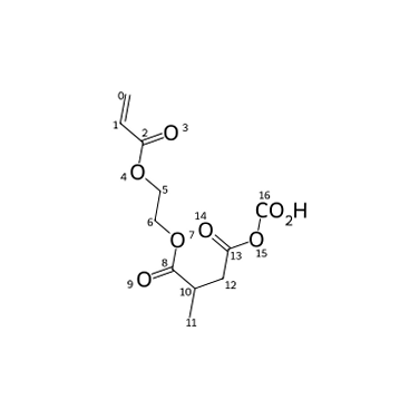 C=CC(=O)OCCOC(=O)C(C)CC(=O)OC(=O)O